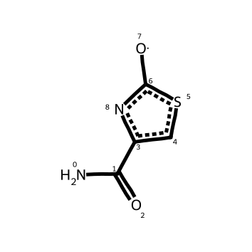 NC(=O)c1csc([O])n1